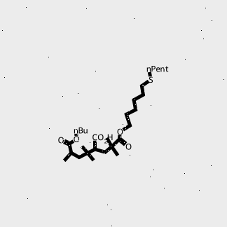 CCCCCSCCCCCCOC(=O)C(C)(C)CC(C(=O)O)C(C)(C)CC(C)C(=O)OCCCC